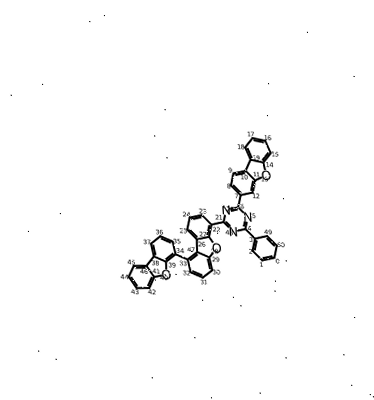 c1ccc(-c2nc(-c3ccc4c(c3)oc3ccccc34)nc(-c3cccc4c3oc3cccc(-c5cccc6c5oc5ccccc56)c34)n2)cc1